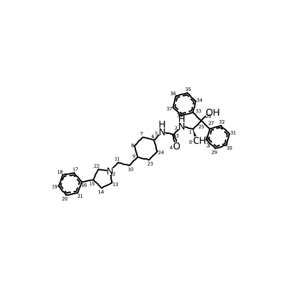 C[C@@H](NC(=O)NC1CCC(CCN2CCC(c3ccccc3)C2)CC1)C(O)(c1ccccc1)c1ccccc1